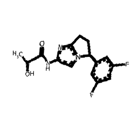 CC(O)C(=O)Nc1cn2c(n1)CCC2c1cc(F)cc(F)c1